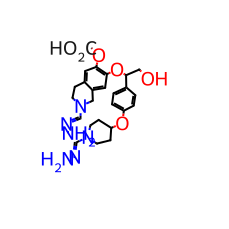 NN=CN1CCC(Oc2ccc(C(CO)Oc3cc4c(cc3OC(=O)O)CCN(C=NN)C4)cc2)CC1